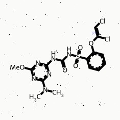 COc1nc(NC(=O)NS(=O)(=O)c2ccccc2O/C(Cl)=C/Cl)nc(N(C)C)n1